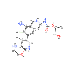 Cc1c(-c2cc3cc(NC(=O)O[C@@H](C)CO)ncc3c(N)c2F)cnc2c1NCCO2